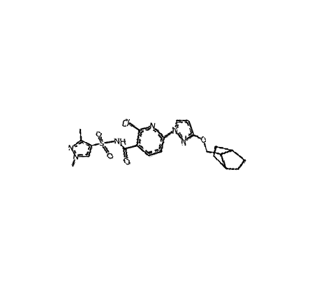 Cc1nn(C)cc1S(=O)(=O)NC(=O)c1ccc(-n2ccc(OCC3C4CCC3CC4)n2)nc1Cl